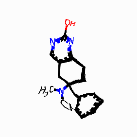 CN(C)C1(c2ccccc2)CCc2nc(O)ncc2C1